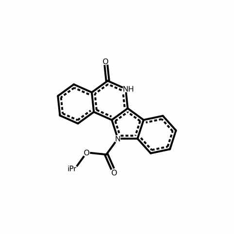 CC(C)OC(=O)n1c2ccccc2c2[nH]c(=O)c3ccccc3c21